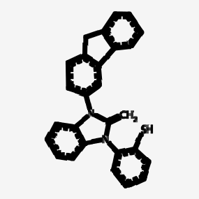 C=C1N(c2ccc3c(c2)-c2ccccc2C3)c2ccccc2N1c1ccccc1S